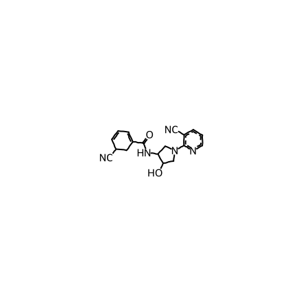 N#Cc1cccnc1N1CC(O)C(NC(=O)C2=CC=CC(C#N)C2)C1